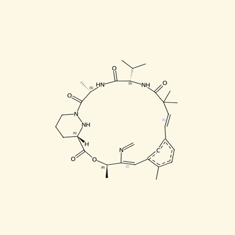 C=N/C1=C\c2cc(ccc2C)/C=C/C(C)(C)C(=O)N[C@@H](C(C)C)C(=O)N[C@@H](C)C(=O)N2CCC[C@H](N2)C(=O)O[C@@H]1C